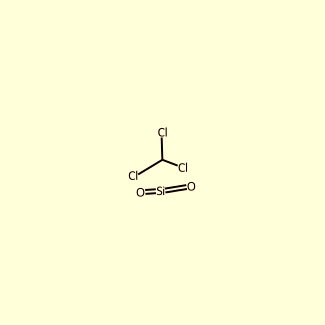 ClC(Cl)Cl.O=[Si]=O